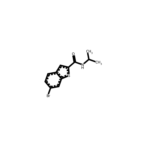 CC(C)NC(=O)c1cc2ccc(Br)cc2s1